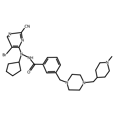 CN1CCC(CN2CCN(Cc3cccc(C(=O)NN(c4nc(C#N)ncc4Br)C4CCCC4)c3)CC2)CC1